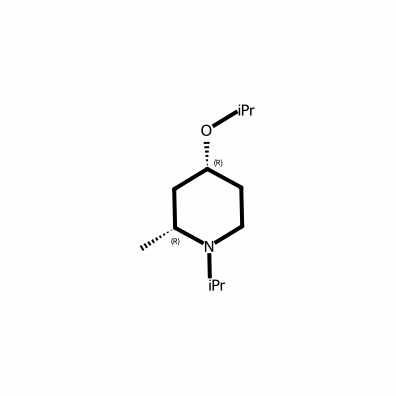 CC(C)O[C@@H]1CCN(C(C)C)[C@H](C)C1